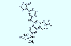 CC(C)(CO)Nc1ccc(C(=O)Nc2cccc(N3CCCC3=O)n2)c(N2CCC3(CC2)CC3)n1